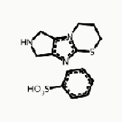 C1CSc2nc3c(n2C1)CNC3.O=S(=O)(O)c1ccccc1